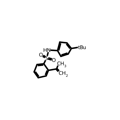 C=C(C)c1ccccc1S(=O)(=O)Nc1ccc(C(C)(C)C)cc1